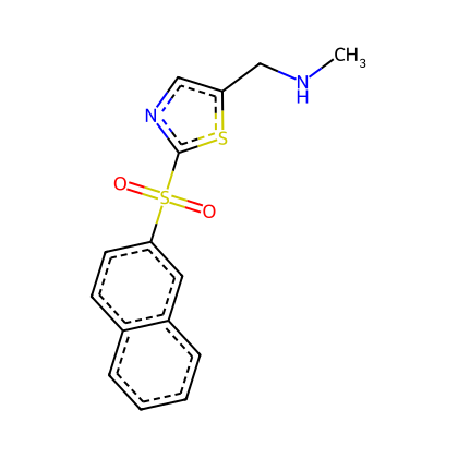 CNCc1cnc(S(=O)(=O)c2ccc3ccccc3c2)s1